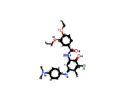 CCOc1ccc(C(=O)NC2=C/C(=N\c3ccc(N(C)C)cc3)C(C)=C(Cl)C2=O)cc1OCC